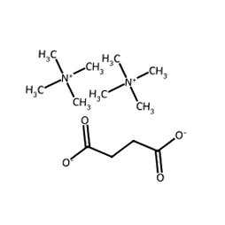 C[N+](C)(C)C.C[N+](C)(C)C.O=C([O-])CCC(=O)[O-]